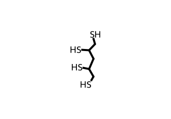 SCC(S)CC(S)CS